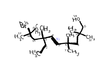 CCC(C)(/C=C/C(C)(C)CC(C)(C)CO)CC(C)(C)Br